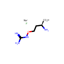 N=C(N)NOCC[C@H](N)C(=O)O.[F-].[Na+]